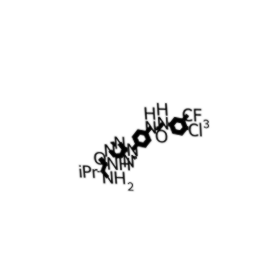 CC(C)[C@@H](N)C(=O)Nc1ncnc2c1ncn2-c1ccc(NC(=O)Nc2ccc(Cl)c(C(F)(F)F)c2)cc1